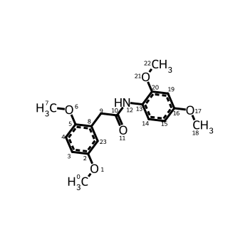 COc1ccc(OC)c(CC(=O)Nc2ccc(OC)cc2OC)c1